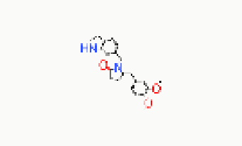 COc1ccc(CC2CCC(=O)N2Cc2ccc3c(c2)NCC3)cc1OC